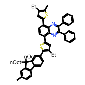 CCCCCCCCC1(CCCCCCCC)c2cc(C)ccc2-c2ccc(-c3sc(-c4ccc(-c5cc(CC)c(C)s5)c5nc(-c6ccccc6)c(-c6ccccc6)nc45)cc3CC)cc21